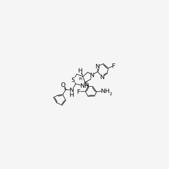 Nc1ccc(F)c([C@]23CN(c4ncc(F)cn4)C[C@H]2CSC(NC(=O)c2ccccc2)N3)c1